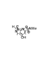 CNS(=O)(=O)c1cc(O)c2cnn(C)c2n1